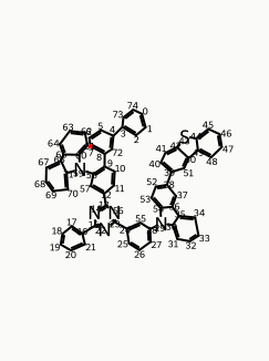 c1ccc(-c2cccc(-c3ccc(-c4nc(-c5ccccc5)nc(-c5cccc(-n6c7ccccc7c7cc(-c8ccc9sc%10ccccc%10c9c8)ccc76)c5)n4)cc3-n3c4ccccc4c4ccccc43)c2)cc1